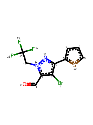 O=Cc1c(Br)c(-c2cccs2)nn1CC(F)(F)F